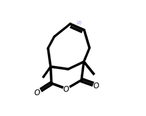 CC12C/C=C\CCC(C)(C1)C(=O)OC2=O